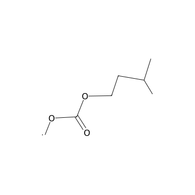 [CH2]OC(=O)OCCC(C)C